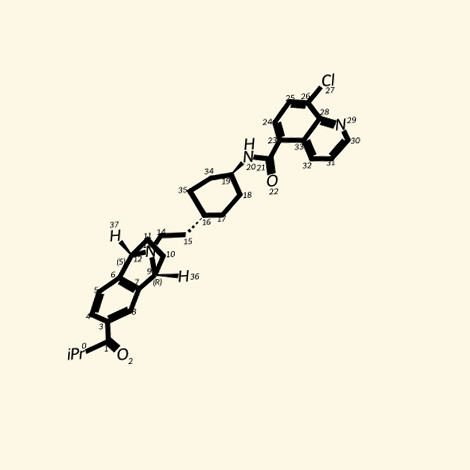 CC(C)C(=O)c1ccc2c(c1)[C@H]1CC[C@@H]2N1CC[C@H]1CC[C@H](NC(=O)c2ccc(Cl)c3ncccc23)CC1